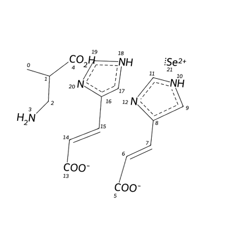 CC(CN)C(=O)O.O=C([O-])C=Cc1c[nH]cn1.O=C([O-])C=Cc1c[nH]cn1.[Se+2]